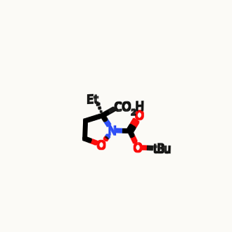 CC[C@@]1(C(=O)O)CCON1C(=O)OC(C)(C)C